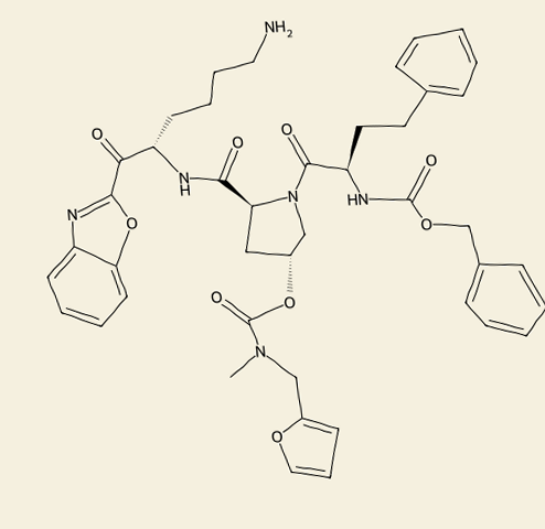 CN(Cc1ccco1)C(=O)O[C@@H]1C[C@@H](C(=O)N[C@@H](CCCCN)C(=O)c2nc3ccccc3o2)N(C(=O)[C@@H](CCc2ccccc2)NC(=O)OCc2ccccc2)C1